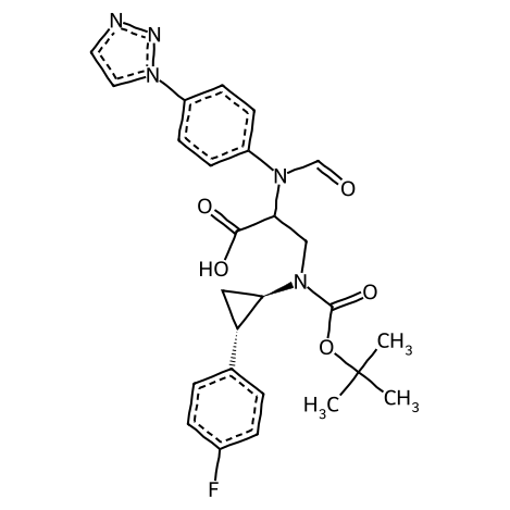 CC(C)(C)OC(=O)N(CC(C(=O)O)N(C=O)c1ccc(-n2ccnn2)cc1)[C@@H]1C[C@H]1c1ccc(F)cc1